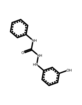 O=C(NNc1cccc(O)c1)Nc1ccccc1